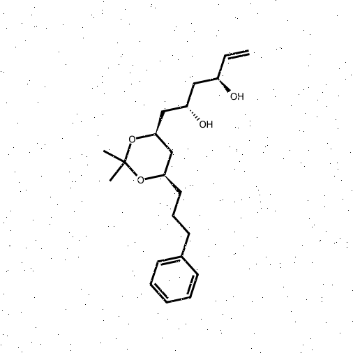 C=C[C@@H](O)C[C@H](O)C[C@H]1C[C@@H](CCCc2ccccc2)OC(C)(C)O1